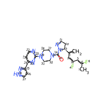 C=C(/C=C(F)\C=C(/C)F)[C@@H]1CC=NN1C(=O)N1CCN(c2nccc(-c3cc[nH]n3)n2)CC1